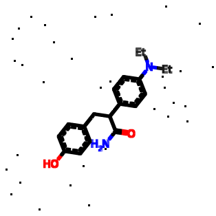 CCN(CC)c1ccc(C(Cc2ccc(O)cc2)C(N)=O)cc1